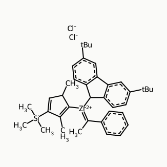 CC1=[C](/[Zr+2](=[C](\C)c2ccccc2)[CH]2c3ccc(C(C)(C)C)cc3-c3cc(C(C)(C)C)ccc32)C(C)C=C1[Si](C)(C)C.[Cl-].[Cl-]